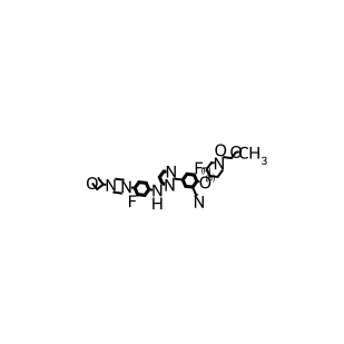 COCC(=O)N1CC[C@H](Oc2ccc(-c3nccc(Nc4ccc(N5CCN(C6COC6)CC5)c(F)c4)n3)cc2C#N)[C@H](F)C1